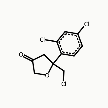 O=C1COC(CCl)(c2ccc(Cl)cc2Cl)C1